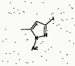 CC(=O)n1nc(I)cc1C